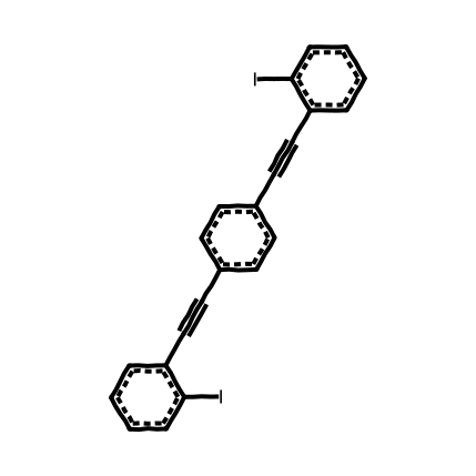 Ic1ccccc1C#Cc1ccc(C#Cc2ccccc2I)cc1